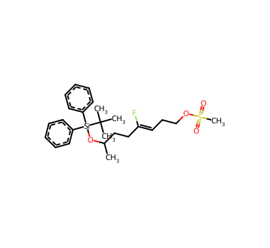 CC(CCC(F)=CCCOS(C)(=O)=O)O[Si](c1ccccc1)(c1ccccc1)C(C)(C)C